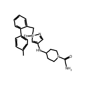 CC[N+]1(Cc2ccccc2-c2ccc(C)cc2)C=C(NC2CCN(C(N)=O)CC2)C=N1